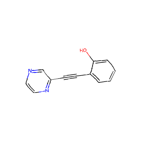 Oc1ccccc1C#Cc1cnccn1